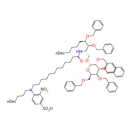 CCCCCCCCCCCCCC[C@@H](OCc1ccccc1)[C@@H](OCc1ccccc1)[C@H](CO[C@H]1O[C@H](COCc2ccccc2)[C@H](OCc2ccccc2)[C@H](OCc2ccccc2)[C@H]1OCc1ccccc1)NC(=O)CCCCCCCCCCCN(CCCCCCCCCCCCC)c1ccc(S(=O)(=O)O)cc1[N+](=O)[O-]